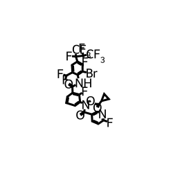 O=C(Nc1c(Br)cc(C(F)(C(F)(F)F)C(F)(F)C(F)(F)F)cc1C(F)F)c1cccc(N(OC(=O)C2CC2)C(=O)c2ccc(F)nc2)c1F